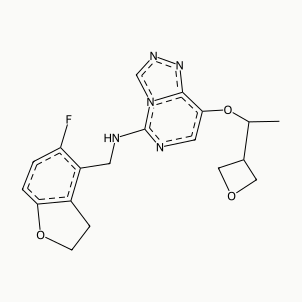 CC(Oc1cnc(NCc2c(F)ccc3c2CCO3)n2cnnc12)C1COC1